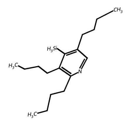 CCCCc1cnc(CCCC)c(CCCC)c1[SiH3]